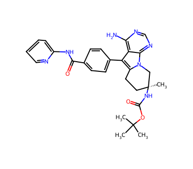 CC(C)(C)OC(=O)N[C@@]1(C)CCc2c(-c3ccc(C(=O)Nc4ccccn4)cc3)c3c(N)ncnc3n2C1